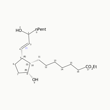 CCCCCC(O)/C=C/[C@H]1CC[C@@H](O)[C@H]1CCCCCCC(=O)OCC